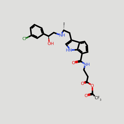 C[C@H](Cc1c[nH]c2c(C(=O)NCCC(=O)OC(=O)C(F)(F)F)cccc12)NC[C@@H](O)c1cccc(Cl)c1